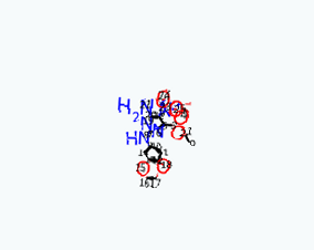 CCOC(=O)c1nc(Nc2ccc3c(c2)OCCO3)nc(N)c1[N+](=O)[O-]